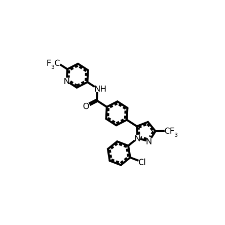 O=C(Nc1ccc(C(F)(F)F)nc1)c1ccc(-c2cc(C(F)(F)F)nn2-c2ccccc2Cl)cc1